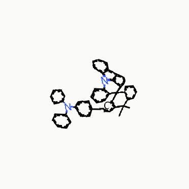 CC1(C)c2ccccc2C2(c3ccccc3-n3c4ccccc4c4cccc2c43)c2cc(-c3ccc(N(c4ccccc4)c4ccccc4)cc3)ccc21